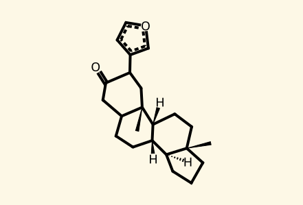 C[C@@]12CCC[C@H]1[C@@H]1CCC3CC(=O)C(c4ccoc4)C[C@]3(C)[C@@H]1CC2